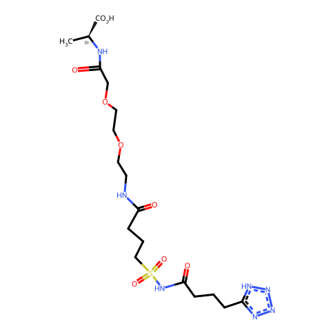 C[C@H](NC(=O)COCCOCCNC(=O)CCCS(=O)(=O)NC(=O)CCCc1nnn[nH]1)C(=O)O